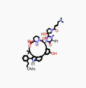 CCn1c(-c2ccccc2CCOC)c2c3cc(ccc31)-c1cc(O)cc(c1)C[C@H](NC(=O)[C@H](C(C)C)N(C)C(=O)C1(O)CCN(C(=O)/C=C/CN(C)C)C1)C(=O)N1CCC[C@@](O)(N1)C(=O)OCC(C)(C)C2